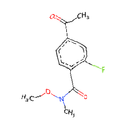 CON(C)C(=O)c1ccc(C(C)=O)cc1F